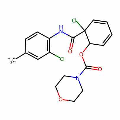 O=C(OC1C=CC=CC1(Cl)C(=O)Nc1ccc(C(F)(F)F)cc1Cl)N1CCOCC1